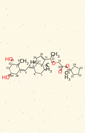 C=C1/C(=C\C=C2/CCC[C@]3(C)C(C(C)OCC(=O)OC4(C)CCCC4)=CC[C@@H]23)C[C@@H](O)C[C@@H]1O